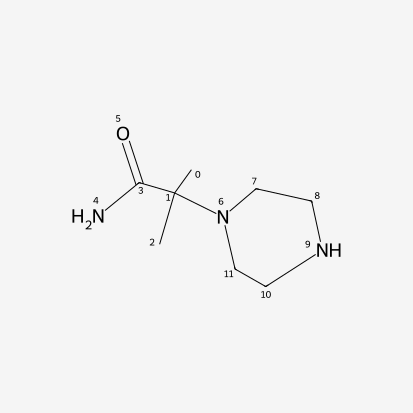 CC(C)(C(N)=O)N1CCNCC1